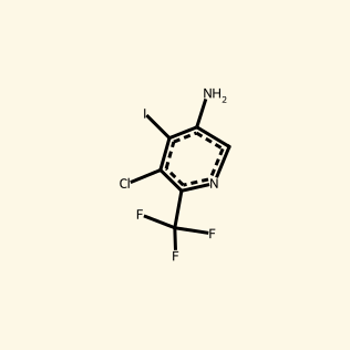 Nc1cnc(C(F)(F)F)c(Cl)c1I